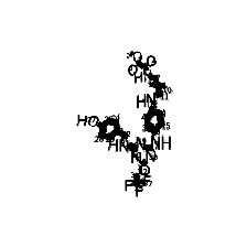 COC(=O)C(=O)NCC(C)(C)CNc1ccc(Nc2nc(NCc3ccc(O)cc3)nc(OCC(F)(F)F)n2)cc1